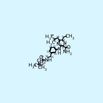 CCc1nc(C(N)=O)c(Nc2cccc(CCNC(=O)OC(C)(C)C)c2)nc1CC(C)C